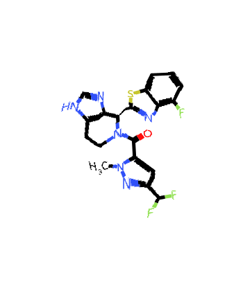 Cn1nc(C(F)F)cc1C(=O)N1CCc2[nH]cnc2[C@H]1c1nc2c(F)cccc2s1